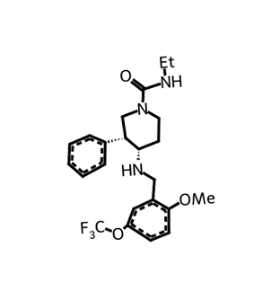 CCNC(=O)N1CC[C@H](NCc2cc(OC(F)(F)F)ccc2OC)[C@H](c2ccccc2)C1